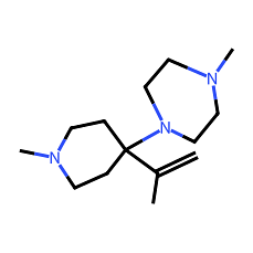 C=C(C)C1(N2CCN(C)CC2)CCN(C)CC1